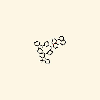 CC1(C)c2ccccc2-c2c(-c3cccc(N(c4ccc(-c5cccc6cccc(-c7ccccc7)c56)cc4)c4cccc(-n5c6ccccc6c6ccccc65)c4)c3)cccc21